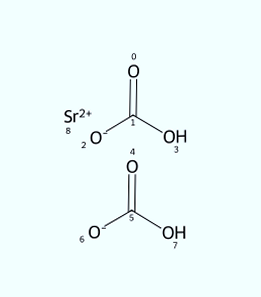 O=C([O-])O.O=C([O-])O.[Sr+2]